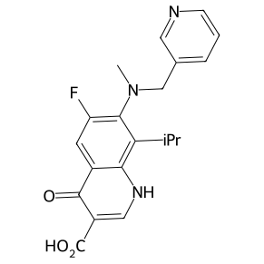 CC(C)c1c(N(C)Cc2cccnc2)c(F)cc2c(=O)c(C(=O)O)c[nH]c12